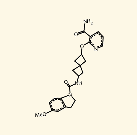 COc1ccc2c(c1)CCN2C(=O)NC1CC2(C1)CC(Oc1ncccc1C(N)=O)C2